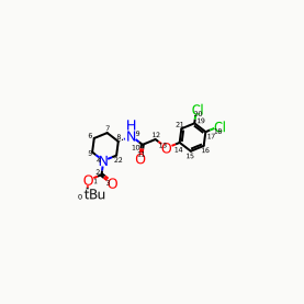 CC(C)(C)OC(=O)N1CCC[C@H](NC(=O)COc2ccc(Cl)c(Cl)c2)C1